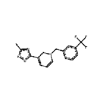 Cc1noc(C2=CC=CN(Cc3cccc(C(F)(F)F)c3)C2)n1